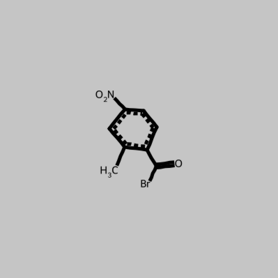 Cc1cc([N+](=O)[O-])ccc1C(=O)Br